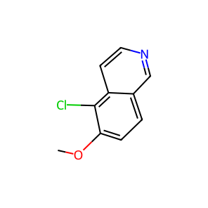 COc1ccc2cnccc2c1Cl